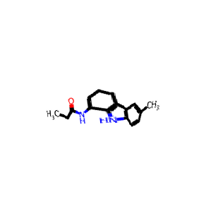 CCC(=O)NC1CCCc2c1[nH]c1ccc(C)cc21